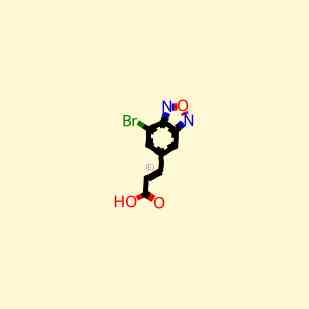 O=C(O)/C=C/c1cc(Br)c2nonc2c1